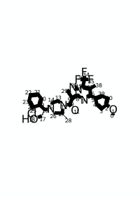 COc1ccc(-c2nc3c(C(=O)N4CCN([C@H](CO)c5ccccc5Cl)C[C@H]4C)cnn3c(C(F)(F)F)c2C)cc1